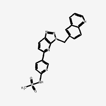 CS(=O)(=O)Nc1ccc(-c2ccc3nnn(Cc4ccc5ncccc5c4)c3n2)cn1